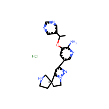 CC(Oc1cc(-c2cc3n(n2)CC[C@]32CCNC2)cnc1N)c1cncnc1.Cl